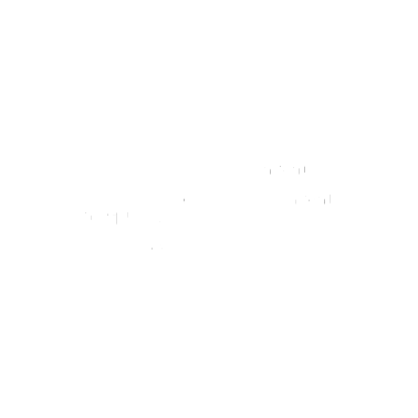 CCCCCCCC(=O)OCCCC(CCCCC)CCCCC